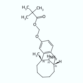 CC(C)(C)C(=O)OCOc1ccc2c(c1)[C@@]1(C)CCCCC[C@@H](C2)[C@@H]1N